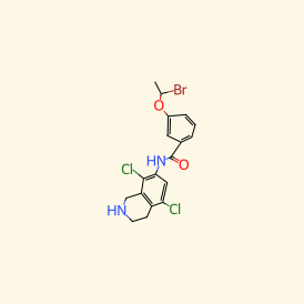 CC(Br)Oc1cccc(C(=O)Nc2cc(Cl)c3c(c2Cl)CNCC3)c1